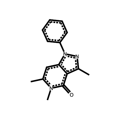 Cc1nn(-c2ccccc2)c2cc(C)n(C)c(=O)c12